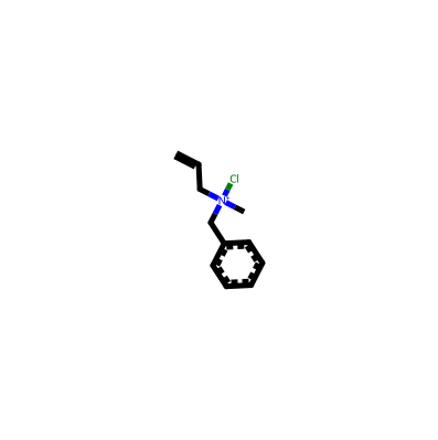 C=CC[N+](C)(Cl)Cc1ccccc1